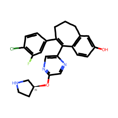 Oc1ccc2c(c1)CCCC(c1ccc(Cl)c(F)c1)=C2c1cnc(O[C@H]2CCNC2)cn1